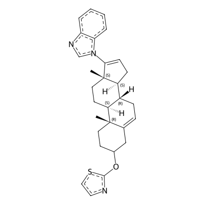 C[C@]12CCC(Oc3nccs3)CC1=CC[C@@H]1[C@@H]2CC[C@]2(C)C(n3cnc4ccccc43)=CC[C@@H]12